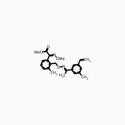 C=Cc1cc(C)cc(/C(C)=N/OCc2c(C)cccc2/C(=N\OC)C(=O)OC)c1